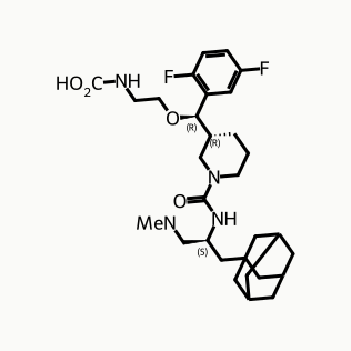 CNC[C@H](CC12CC3CC(CC(C3)C1)C2)NC(=O)N1CCC[C@@H]([C@@H](OCCNC(=O)O)c2cc(F)ccc2F)C1